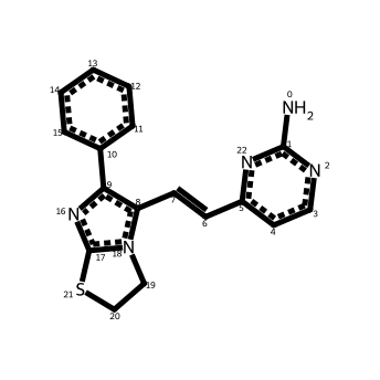 Nc1nccc(C=Cc2c(-c3ccccc3)nc3n2CCS3)n1